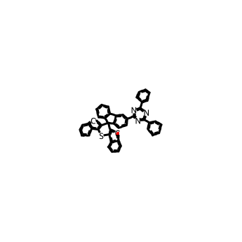 c1ccc(-c2nc(-c3ccccc3)nc(-c3ccc4c(c3)-c3ccccc3C43c4ccc5ccccc5c4Sc4c3ccc3ccccc43)n2)cc1